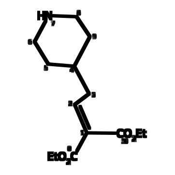 CCOC(=O)C(=CCC1CCNCC1)C(=O)OCC